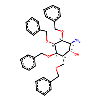 N[C@H]1[C@H](O)[C@H](COCc2ccccc2)[C@@H](OCc2ccccc2)[C@H](OCc2ccccc2)[C@H]1OCc1ccccc1